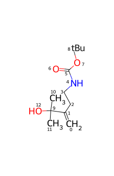 C=C(CCNC(=O)OC(C)(C)C)C(C)(C)O